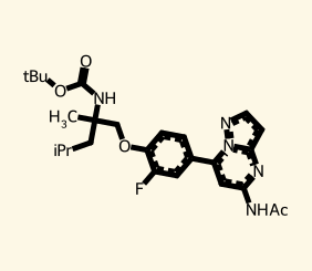 CC(=O)Nc1cc(-c2ccc(OCC(C)(CC(C)C)NC(=O)OC(C)(C)C)c(F)c2)n2nccc2n1